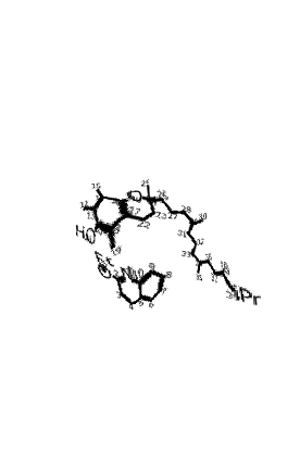 CCOc1ccc2ccccc2n1.Cc1c(C)c2c(c(C)c1O)CC[C@@](C)(CCCC(C)CCCC(C)CCCC(C)C)O2